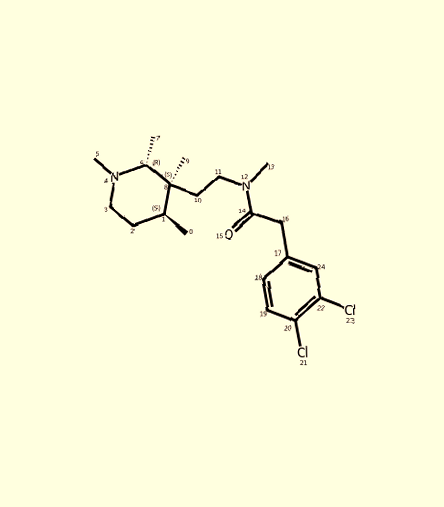 C[C@H]1CCN(C)[C@H](C)[C@@]1(C)CCN(C)C(=O)Cc1ccc(Cl)c(Cl)c1